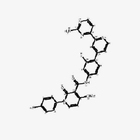 COc1ccn(-c2ccc(F)cc2)c(=O)c1C(=O)Nc1ccc(-c2ccnc(-c3ccnc(N)n3)c2)c(F)c1